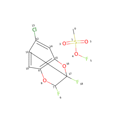 CS(=O)(=O)OF.FC1Oc2cc3c(Cl)cc2OC31F